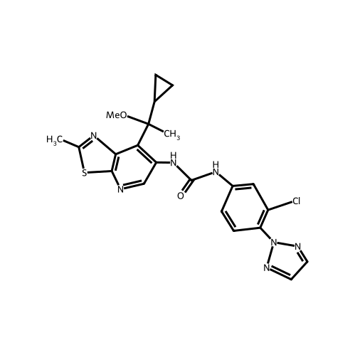 COC(C)(c1c(NC(=O)Nc2ccc(-n3nccn3)c(Cl)c2)cnc2sc(C)nc12)C1CC1